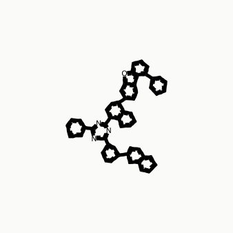 c1ccc(-c2nc(-c3cccc(-c4ccc5ccccc5c4)c3)nc(-c3ccc(-c4ccc5c(c4)oc4cccc(-c6ccccc6)c45)c4ccccc34)n2)cc1